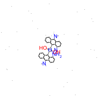 CN(C)c1c2ccccc2c(C2C(O)C(c3c4ccccc4c(N(C)C)c4cccc(N)c34)C2O)c2c(N)cccc12